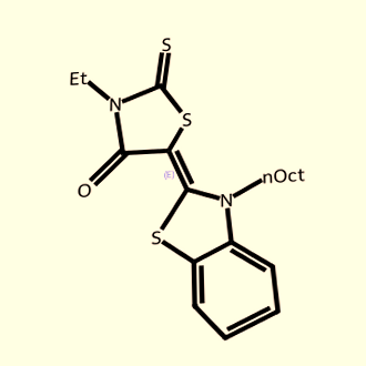 CCCCCCCCN1/C(=C2\SC(=S)N(CC)C2=O)Sc2ccccc21